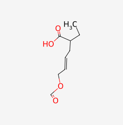 CCC(CC=CCOC=O)C(=O)O